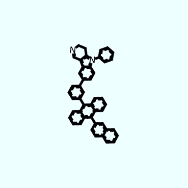 C1=NCCc2c1c1cc(-c3cccc(-c4c5ccccc5c(-c5ccc6ccccc6c5)c5ccccc45)c3)ccc1n2-c1ccccc1